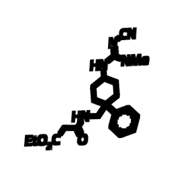 CCOC(=O)CC(=O)NCC1(c2ccccc2)CCC(N/C(=N/C#N)NC)CC1